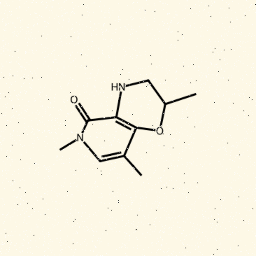 Cc1cn(C)c(=O)c2c1OC(C)CN2